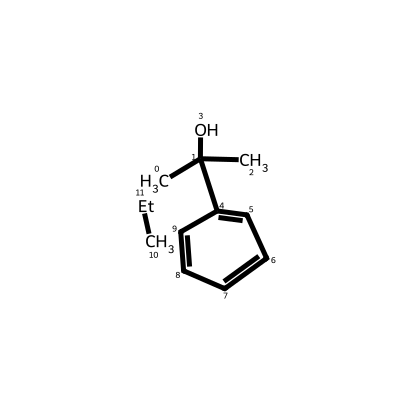 CC(C)(O)c1ccccc1.CCC